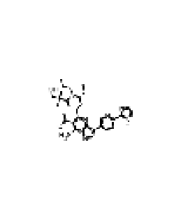 CCCN(C(=O)C(C)(C)CO)[C@H](CC)CCc1nc2c(-c3ccc(-c4ncc[nH]4)nc3)cnn2c(N)c1C(C)=O